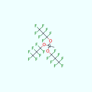 C[Si](OC(F)(F)C(F)(F)C(F)(F)F)(OC(F)(F)C(F)(F)C(F)(F)F)OC(F)(F)C(F)(F)C(F)(F)F